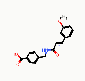 COc1cccc(/C=C/C(=O)NCc2ccc(C(=O)O)cc2)c1